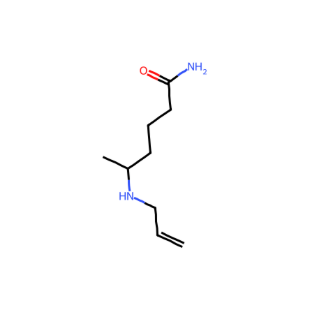 C=CCNC(C)CCCC(N)=O